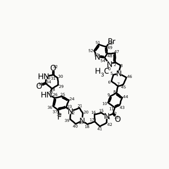 Cn1c(CN2CCC(c3ccc(C(=O)N4CCC(CN5CCN(c6ccc(NC7CCC(=O)NC7=O)cc6F)CC5)CC4)cc3)CC2)cc2c(Br)ccnc21